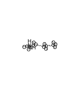 COc1ccc2c(c1)C(=O)NC(c1ccc(OCCCCCCOc3c(OC)cc(C=Cc4cc(OC)c(OC)c(OC)c4)cc3OC)c(OC)c1)N2